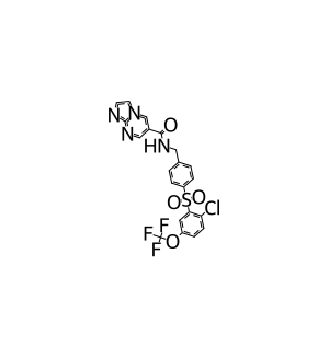 O=C(NCc1ccc(S(=O)(=O)c2cc(OC(F)(F)F)ccc2Cl)cc1)c1cnc2nccn2c1